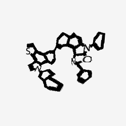 c1ccc(C2=NC3c4c(ccc5ccc(-c6ccc7c(c6)c6ccsc6c6ccn(-c8ccc9ccccc9c8)c76)cc45)N(c4ccccc4)C3O2)cc1